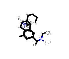 CCC(c1cc(C)c2c(c1)[C@]13CCCC[C@@H]1[C@H](C2)NCC3)N(CC(Cl)(Cl)Cl)S(=O)(=O)O